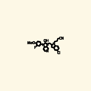 COc1ccc(N2c3ccncc3N(Cc3cc4cc(Cl)ccc4n3CCCC#N)C2O)cc1F